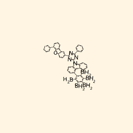 Bc1c(B)c(B)c(-c2cccc3c2c2ccccc2n3-c2nc(-c3ccccc3)nc(-c3ccc4oc5c(-c6ccccc6)cccc5c4c3)n2)c(B)c1B